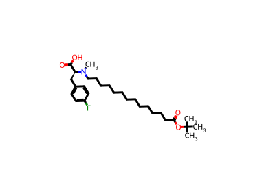 CN(CCCCCCCCCCCCCC(=O)OC(C)(C)C)[C@@H](Cc1ccc(F)cc1)C(=O)O